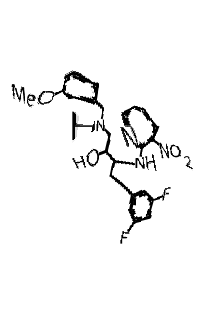 COc1cccc(CNCC(O)C(Cc2cc(F)cc(F)c2)Nc2ncccc2[N+](=O)[O-])c1